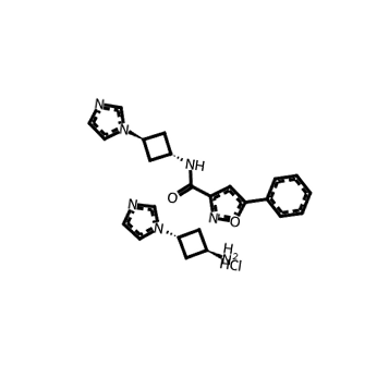 Cl.N[C@H]1C[C@H](n2ccnc2)C1.O=C(N[C@H]1C[C@H](n2ccnc2)C1)c1cc(-c2ccccc2)on1